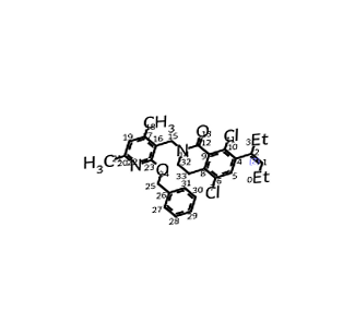 CC/C=C(/CC)c1cc(Cl)c2c(c1Cl)C(=O)N(Cc1c(C)cc(C)nc1OCc1ccccc1)CC2